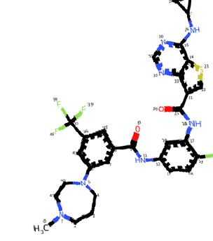 CN1CCCN(c2cc(C(=O)Nc3ccc(F)c(NC(=O)c4csc5c(NC6CC6)ncnc45)c3)cc(C(F)(F)F)c2)CC1